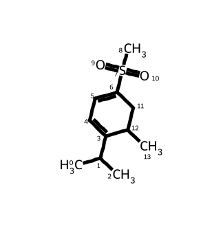 CC(C)C1=CC=C(S(C)(=O)=O)CC1C